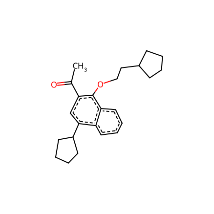 CC(=O)c1cc(C2CCCC2)c2ccccc2c1OCCC1CCCC1